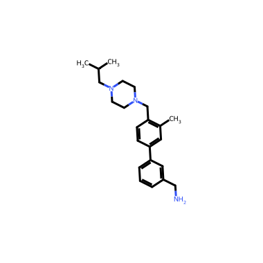 C[C](C)CN1CCN(Cc2ccc(-c3cccc(CN)c3)cc2C)CC1